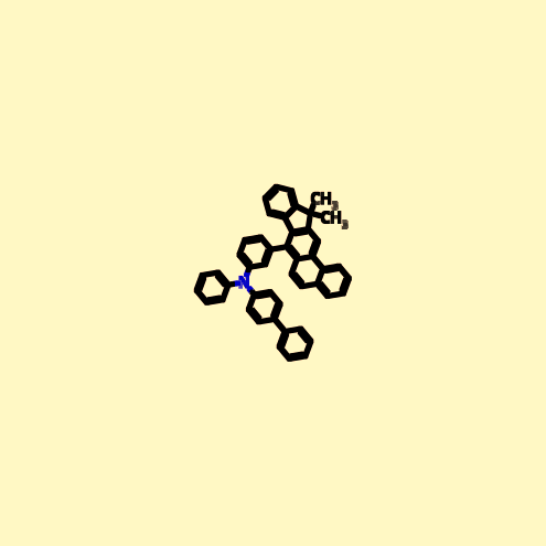 CC1(C)c2ccccc2-c2c1cc1c(ccc3ccccc31)c2-c1cccc(N(c2ccccc2)c2ccc(-c3ccccc3)cc2)c1